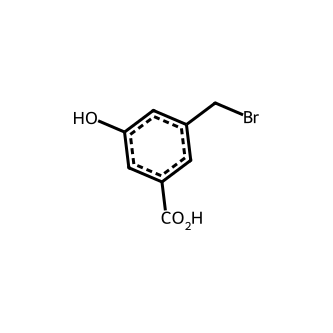 O=C(O)c1cc(O)cc(CBr)c1